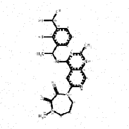 Cc1nc(NC(C)c2cccc(C(F)F)c2F)c2cc(N3CCCN(C)C(=O)C3=O)ncc2n1